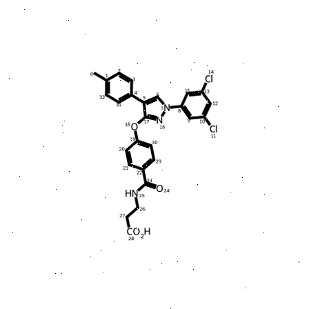 Cc1ccc(-c2cn(-c3cc(Cl)cc(Cl)c3)nc2Oc2ccc(C(=O)NCCC(=O)O)cc2)cc1